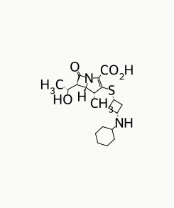 C[C@@H](O)[C@H]1C(=O)N2C(C(=O)O)=C(S[C@H]3C[C@@H](NC4CCCCC4)C3)[C@H](C)[C@H]12